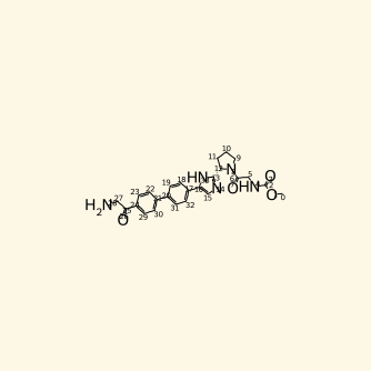 COC(=O)NCC(=O)N1CCC[C@H]1c1ncc(-c2ccc(-c3ccc(C(=O)CN)cc3)cc2)[nH]1